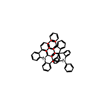 c1ccc(-c2ccc(-c3ccccc3N(c3ccc4c(c3)C3(c5ccccc5-4)c4ccccc4N(c4ccccc4)c4ccccc43)c3ccccc3-c3cccc(-c4ccccc4)c3)cc2)cc1